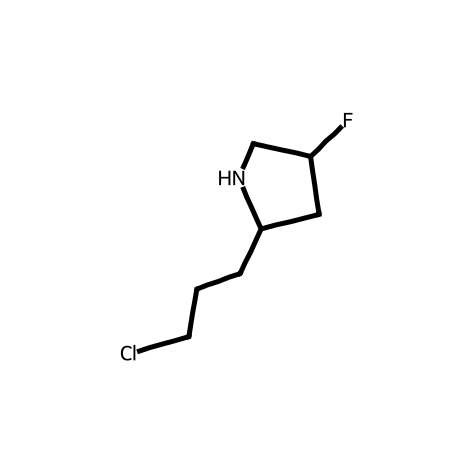 FC1CNC(CCCCl)C1